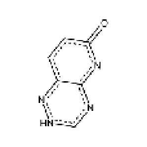 O=c1ccc2n[nH]cnc-2n1